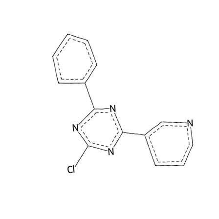 Clc1nc(-c2ccccc2)nc(-c2cccnc2)n1